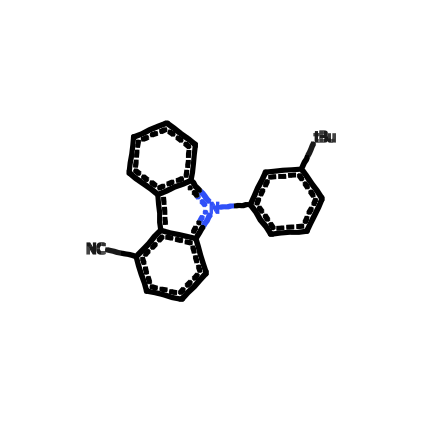 CC(C)(C)c1cccc(-n2c3ccccc3c3c(C#N)cccc32)c1